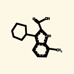 Cc1cccc2c(C3CCCCC3)c(C(=O)O)[nH]c12